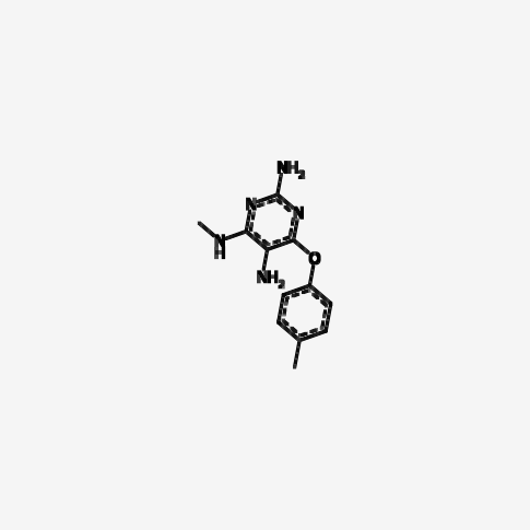 CNc1nc(N)nc(Oc2ccc(C)cc2)c1N